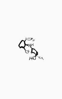 C[C@]1(O)C[C@@H](Nc2c([N+](=O)[O-])cccc2C(F)(F)F)C1